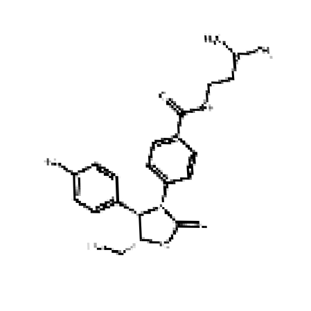 CN(C)CCNC(=O)c1ccc(N2C(=O)O[C@H](CO)[C@H]2c2ccc(O)cc2)cc1